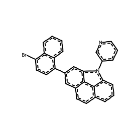 Brc1ccc(-c2cc3ccc4cccc5c4c3c(c2)n5-c2cccnc2)c2ccccc12